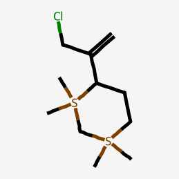 C=C(CCl)C1CCS(C)(C)CS1(C)C